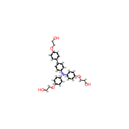 OCCOc1ccc(-c2ccc(N(c3ccc(OCCO)cc3)c3ccc(OCCO)cc3)cc2)cc1